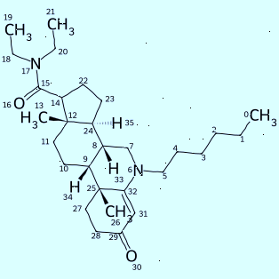 CCCCCCN1C[C@@H]2[C@@H](CC[C@]3(C)C(C(=O)N(CC)CC)CC[C@@H]23)[C@@]2(C)CCC(=O)C=C12